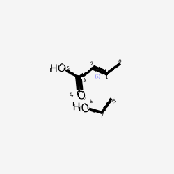 C/C=C/C(=O)O.CCO